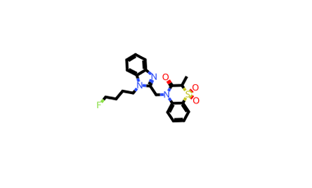 CC1C(=O)N(Cc2nc3ccccc3n2CCCCF)c2ccccc2S1(=O)=O